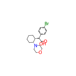 O=C(O)C(c1ccc(Br)cc1)[C@@H]1CCCC[C@H]1N1CCOCC1